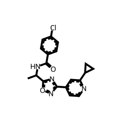 CC(NC(=O)c1ccc(Cl)cc1)c1nc(-c2ccnc(C3CC3)c2)no1